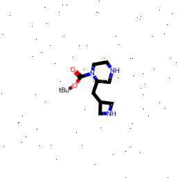 CC(C)(C)OC(=O)N1CCNCC1CC1CNC1